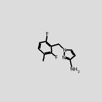 Cc1ccc(F)c(Cn2ccc(N)n2)c1F